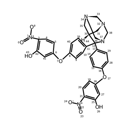 O=[N+]([O-])c1ccc(Oc2ccc(C3(c4ccc(Oc5ccc([N+](=O)[O-])c(O)c5)cc4)[C@H]4C[N@]5C[N@](C4)C[N@]3C5)cc2)cc1O